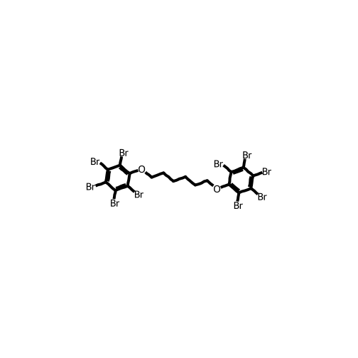 Brc1c(Br)c(Br)c(OCCCCCCOc2c(Br)c(Br)c(Br)c(Br)c2Br)c(Br)c1Br